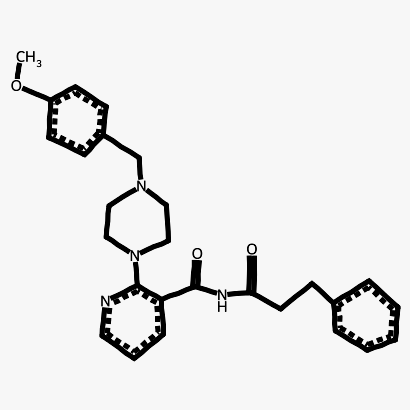 COc1ccc(CN2CCN(c3ncccc3C(=O)NC(=O)CCc3ccccc3)CC2)cc1